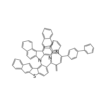 C=C1C=C(c2ccc(-c3ccccc3)cc2)N=C(c2ccc3ccccc3c2)N=C1c1ccc2sc3cc4ccccc4cc3c2c1-n1c2cc3ccccc3cc2c2c3ccccc3ccc21